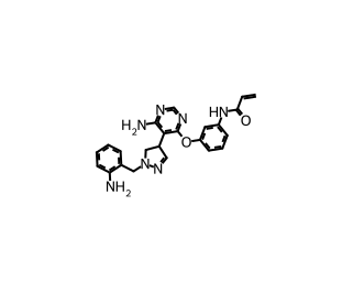 C=CC(=O)Nc1cccc(Oc2ncnc(N)c2C2C=NN(Cc3ccccc3N)C2)c1